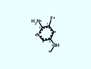 CBc1cnc(N)c(F)c1